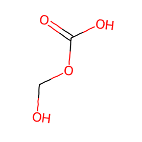 O=C(O)OCO